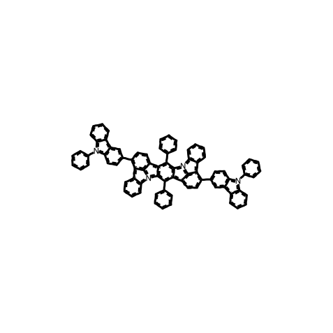 c1ccc(-c2c3c4ccc(-c5ccc6c(c5)c5ccccc5n6-c5ccccc5)c5c6ccccc6n(c3c(-c3ccccc3)c3c6ccc(-c7ccc8c(c7)c7ccccc7n8-c7ccccc7)c7c8ccccc8n(c23)c67)c45)cc1